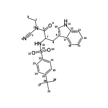 CCN(C#N)C(=O)C(Cc1c[nH]c2ccccc12)NS(=O)(=O)c1ccc(C(C)(C)C)cc1